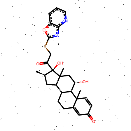 C[C@@H]1CC2C3CCC4=CC(=O)C=CC4(C)C3[C@@H](O)CC2(C)[C@@]1(O)C(=O)CSc1nc2ncccc2o1